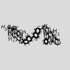 CCCN(Cc1nc2ccc3cc(-c4ccc5cc(-c6cnc(CN(CCC)C(=O)[C@H](NC(=O)N7CCOCC7)c7ccccc7)[nH]6)ccc5c4)ccc3c2[nH]1)C(=O)[C@@H](NC(=O)OC)C(C)C